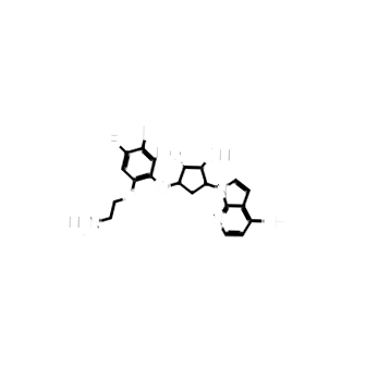 Cc1ccnc2c1ccn2C1CC(Oc2cc(F)c(F)cc2OCCN)[C@@H](O)C1O